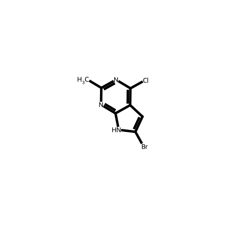 Cc1nc(Cl)c2cc(Br)[nH]c2n1